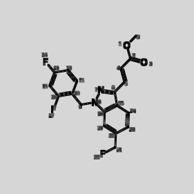 COC(=O)C=Cc1nn(Cc2ccc(F)cc2F)c2cc(CF)ccc12